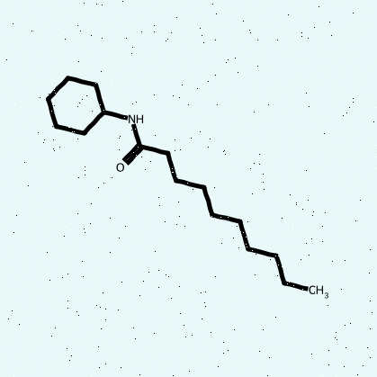 CCCCCCCCCC(=O)NC1C[CH]CCC1